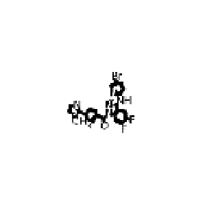 CN1CCN=C1c1ccc(C(=O)Nc2cc(F)c(F)cc2C(=O)Nc2ccc(Br)cn2)cc1